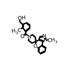 Cc1c(CO)cccc1C(=O)N1CCC2(CC1)Oc1ccccc1-c1c2cnn1C